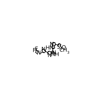 CC(=O)c1ccc(-c2ccnc3[nH]c(-c4n[nH]c5ncc(-c6cncc(CN7CCC(F)(F)C7)c6)cc45)cc23)s1